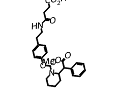 COC(=O)C(c1ccccc1)C1CCCCN1C(=O)Oc1ccc(CCNC(=O)CCC(=O)O)cc1